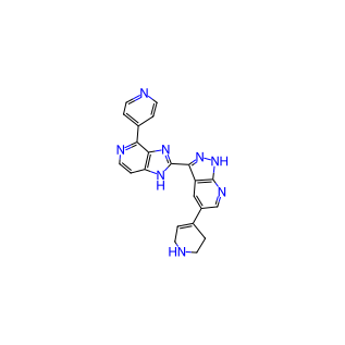 C1=C(c2cnc3[nH]nc(-c4nc5c(-c6ccncc6)nccc5[nH]4)c3c2)CCNC1